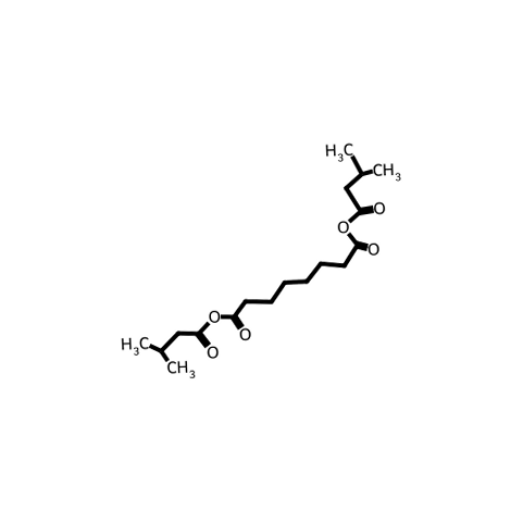 CC(C)CC(=O)OC(=O)CCCCCCC(=O)OC(=O)CC(C)C